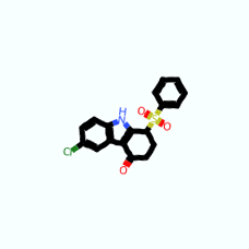 O=C1CCC(S(=O)(=O)c2ccccc2)c2[nH]c3ccc(Cl)cc3c21